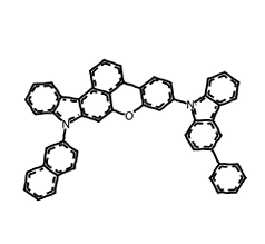 c1ccc(-c2ccc3c(c2)c2ccccc2n3-c2ccc3c(c2)Oc2cc4c(c5cccc-3c25)c2ccccc2n4-c2ccc3ccccc3c2)cc1